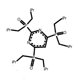 CC(C)CP(=O)(CC(C)C)c1cc(P(=O)(CC(C)C)CC(C)C)nc(P(=O)(CC(C)C)CC(C)C)n1